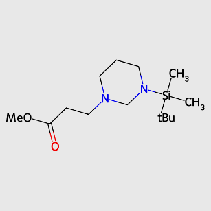 COC(=O)CCN1CCCN([Si](C)(C)C(C)(C)C)C1